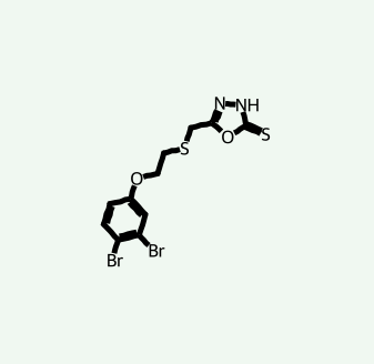 S=c1[nH]nc(CSCCOc2ccc(Br)c(Br)c2)o1